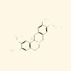 CCCCOc1cc2c(cc1OC)C[C@H]1c3cc(OCCCC)c(OC)cc3CCN1C2